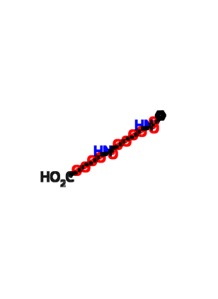 O=C(O)CCOCCOCCOCCOCCNC(=O)CCOCCOCCOCCOCCNC(=O)OCc1ccccc1